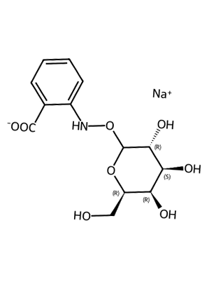 O=C([O-])c1ccccc1NOC1O[C@H](CO)[C@H](O)[C@H](O)[C@H]1O.[Na+]